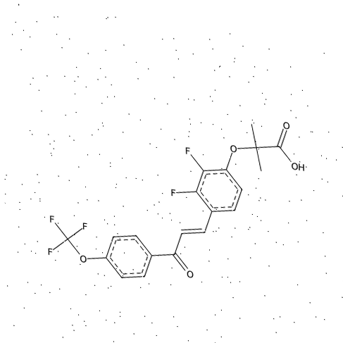 CC(C)(Oc1ccc(/C=C/C(=O)c2ccc(OC(F)(F)F)cc2)c(F)c1F)C(=O)O